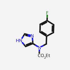 CCOC(=O)N(Cc1ccc(F)cc1)c1c[nH]cn1